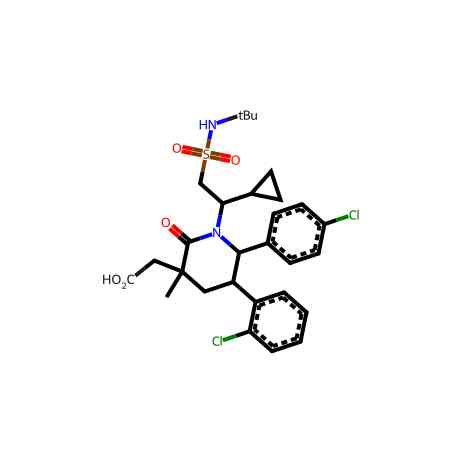 CC(C)(C)NS(=O)(=O)CC(C1CC1)N1C(=O)C(C)(CC(=O)O)CC(c2ccccc2Cl)C1c1ccc(Cl)cc1